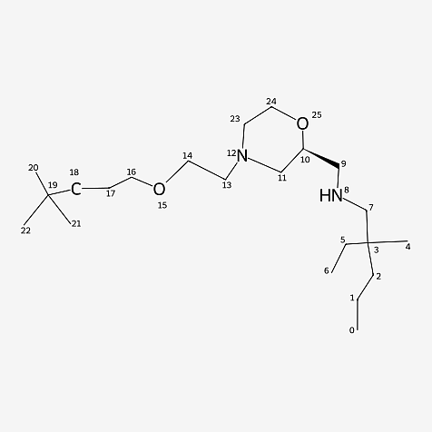 CCCC(C)(CC)CNC[C@H]1CN(CCOCCCC(C)(C)C)CCO1